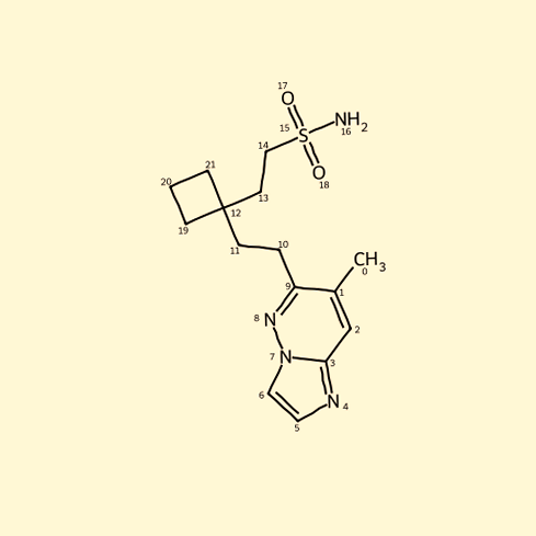 Cc1cc2nccn2nc1CCC1(CCS(N)(=O)=O)CCC1